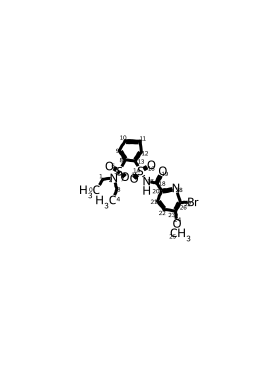 CCN(CC)S(=O)(=O)c1ccccc1S(=O)(=O)NC(=O)c1ccc(OC)c(Br)n1